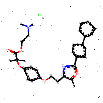 Cc1oc(-c2ccc(-c3ccccc3)cc2)nc1CCOc1ccc(OC(C)(C)C(=O)OCCN(C)C)cc1.Cl